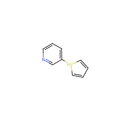 [c]1ccc([SH]2C=CC=C2)cn1